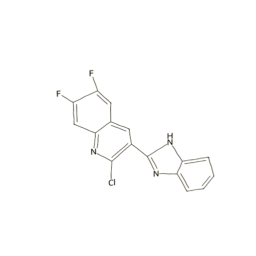 Fc1cc2cc(-c3nc4ccccc4[nH]3)c(Cl)nc2cc1F